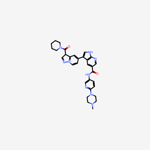 CN1CCN(c2ccc(NC(=O)c3cnc4[nH]cc(-c5cc[n+]6c(c5)C(C(=O)N5CCCCC5)C=N6)c4c3)cn2)CC1